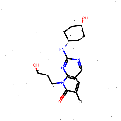 Cc1cc2cnc(N[C@H]3CC[C@H](O)CC3)nc2n(CCCO)c1=O